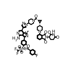 C[C@H](Oc1cc(-c2nn(C)c3c(-c4cnn(C5CCN(C(=O)[C@@H]6C[C@@H]6C6CCN(c7cccc8c7C(=O)N(C7CCC(=O)NC7=O)C8=O)CC6)CC5)c4)cnc(N)c23)ccc1NS(=O)(=O)C(F)F)c1ccc(F)cc1